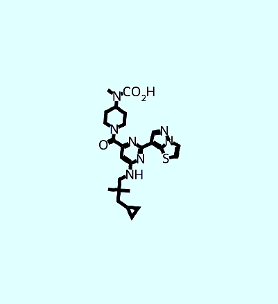 CN(C(=O)O)C1CCN(C(=O)c2cc(NCC(C)(C)CC3CC3)nc(-c3cnn4ccsc34)n2)CC1